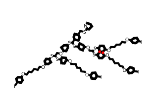 Ic1ccc(OCCCCCCOc2ccc(SC(COc3ccc(SC(Sc4ccc(OCC(Sc5ccc(OCCCCCCOc6ccc(I)cc6)cc5)Sc5ccc(OCCCCCCOc6ccc(I)cc6)cc5)cc4)c4ccc(CSc5ccccn5)cc4)cc3)Sc3ccc(OCCCCCCOc4ccc(I)cc4)cc3)cc2)cc1